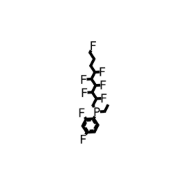 CCP(CC(F)C(F)C(F)C(F)C(F)CCCF)c1ccc(F)cc1F